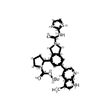 Cc1c[nH]c2ncc(-c3cc4c(c(C5CCCN5C(=O)OC(C)(C)C)c3)CN(C(=O)Nc3nccs3)C4)cc12